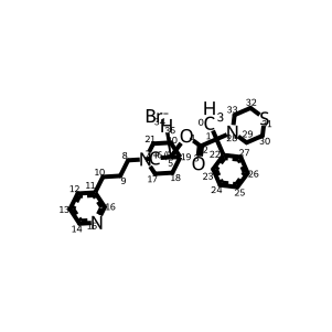 CC(C(=O)O[C@H]1C[N+]2(CCCc3cccnc3)CCC1CC2)(c1ccccc1)N1CCSCC1.[Br-]